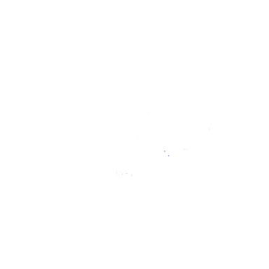 CCCC(C)C(C(=O)N1CCC1=O)c1ccccc1